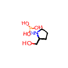 OCC1CCCN1.OP(O)O